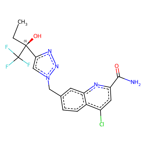 CC[C@](O)(c1cn(Cc2ccc3c(Cl)cc(C(N)=O)nc3c2)nn1)C(F)(F)F